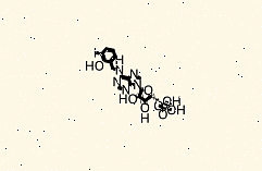 O=P(O)(O)OC[C@H]1O[C@@H](n2cnc3c(NCc4cccc(I)c4O)ncnc32)[C@H](O)[C@@H]1O